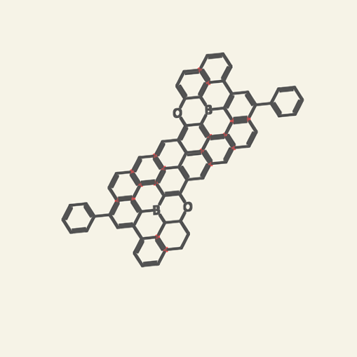 c1ccc(-c2cc(-c3ccccc3)c(B3c4ccccc4Oc4c3c(-c3ccccc3)c3ccc5c6c(c(-c7ccccc7)c7ccc4c3c57)B(c3c(-c4ccccc4)cc(-c4ccccc4)cc3-c3ccccc3)C3CCCCC3O6)c(-c3ccccc3)c2)cc1